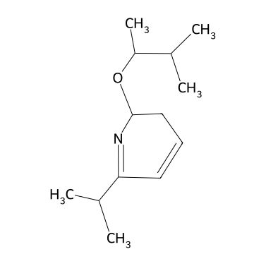 CC(C)C1=NC(OC(C)C(C)C)CC=C1